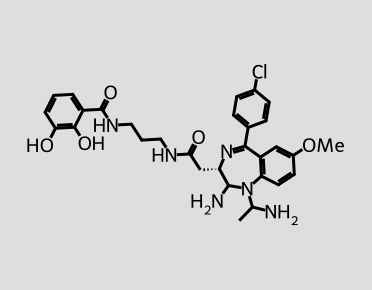 COc1ccc2c(c1)C(c1ccc(Cl)cc1)=N[C@@H](CC(=O)NCCCNC(=O)c1cccc(O)c1O)C(N)N2C(C)N